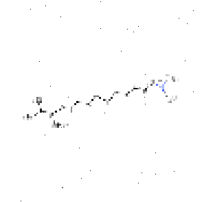 [CH2]CC(CCC)C(CCCCCC)CCCCCCCCCCCN(CCCC)CCCC